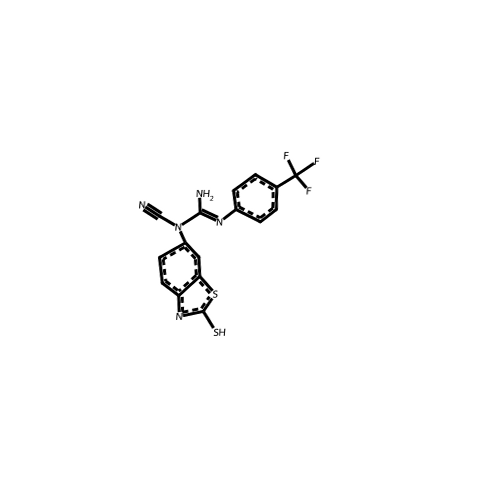 N#CN(C(N)=Nc1ccc(C(F)(F)F)cc1)c1ccc2nc(S)sc2c1